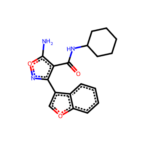 Nc1onc(-c2coc3ccccc23)c1C(=O)NC1CCCCC1